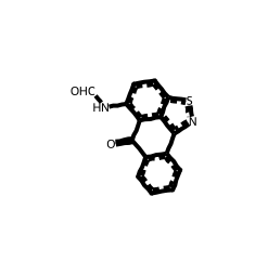 O=CNc1ccc2snc3c2c1C(=O)c1ccccc1-3